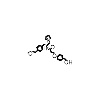 COCCc1ccc(C[C@@H](CN2CCCC2)NC(=O)CCOc2ccc(CO)cc2)cc1